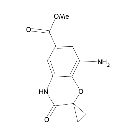 COC(=O)c1cc(N)c2c(c1)NC(=O)C1(CC1)O2